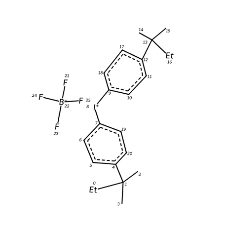 CCC(C)(C)c1ccc([I+]c2ccc(C(C)(C)CC)cc2)cc1.F[B-](F)(F)F